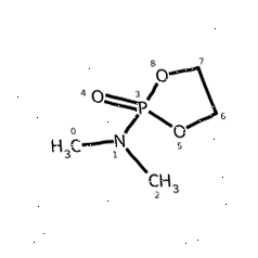 CN(C)P1(=O)OCCO1